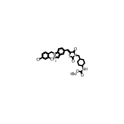 CC(C)(C)OC(=O)NC1CCC(CN2C(=O)SC(=Cc3ccc4c(cnn4Cc4ccc(Cl)cc4C(F)(F)F)c3)C2=O)CC1